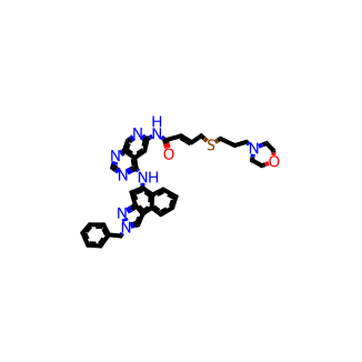 O=C(C=CCSCCCN1CCOCC1)Nc1cc2c(Nc3cc4nn(Cc5ccccc5)cc4c4ccccc34)ncnc2cn1